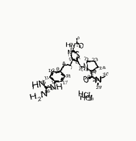 CC(=O)Nc1nc(CCc2ccc(NC(=N)N)cc2)c(CN2CCC[C@H]2C(=O)N(C)C)s1.Cl.Cl